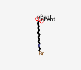 CCCCCOC(CCCCCCCCC/C=C/CCBr)OCCCCC